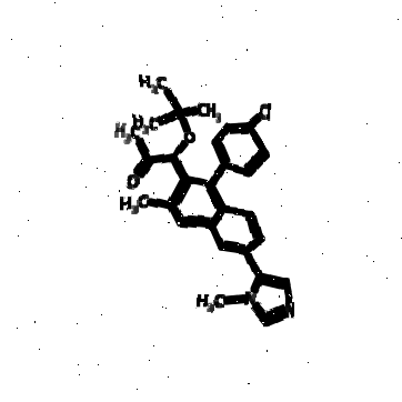 CC(=O)[C@@H](OC(C)(C)C)c1c(C)cc2cc(-c3cncn3C)ccc2c1-c1ccc(Cl)cc1